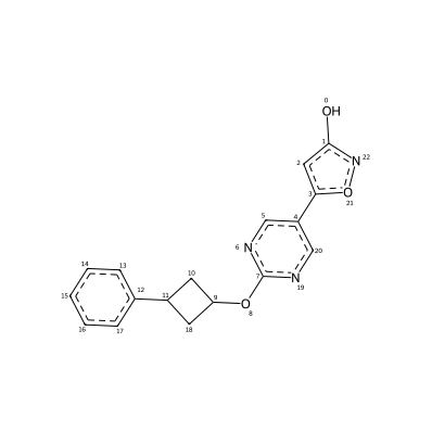 Oc1cc(-c2cnc(OC3CC(c4ccccc4)C3)nc2)on1